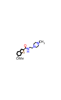 COc1ccc2cc(C(=O)NCCN3CCN(C)CC3)sc2c1